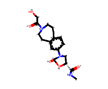 CNC(=O)[C@H]1CN(c2ccc3c(c2)CCN(C(=O)CO)CC3)C(=O)O1